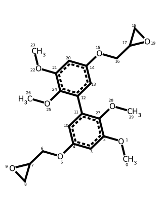 COc1cc(OCC2CO2)cc(-c2cc(OCC3CO3)cc(OC)c2OC)c1OC